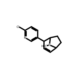 CN1C2C=CC(c3ccc(Cl)nc3)C1CC2